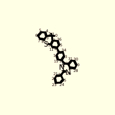 CC1(C)c2ccccc2Sc2cc(-c3ccc(-c4nc(-c5ccccc5)nc5ccccc45)cc3)ccc21